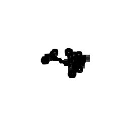 O=CC(Cc1ccccc1)NCCCCCCCC[C@@H](Cc1ccccc1)C(Cc1ccccc1)(NC(=O)O)N[C@@H](Cc1ccccc1)C(=O)NC(=O)O